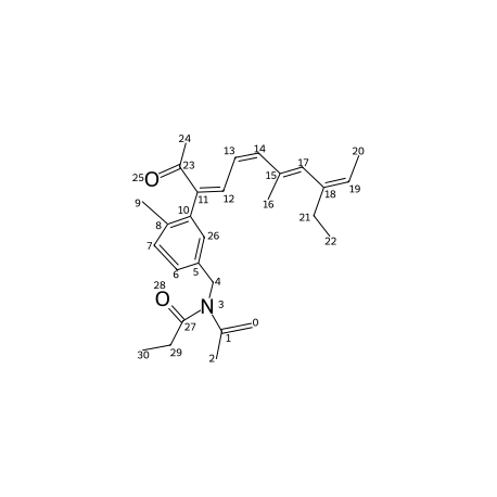 C=C(C)N(Cc1ccc(C)c(/C(=C/C=C\C(C)=C\C(=C/C)CC)C(C)=O)c1)C(=O)CC